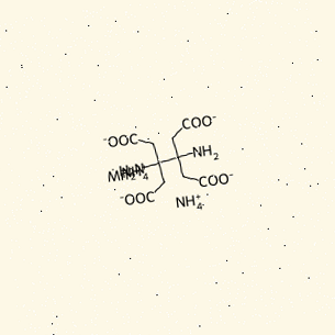 NC(CC(=O)[O-])(CC(=O)[O-])C(N)(CC(=O)[O-])CC(=O)[O-].[Mn+2].[NH4+].[NH4+]